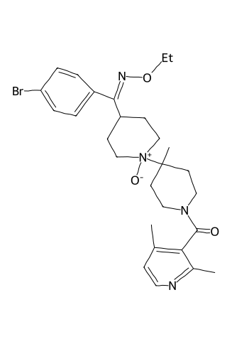 CCON=C(c1ccc(Br)cc1)C1CC[N+]([O-])(C2(C)CCN(C(=O)c3c(C)ccnc3C)CC2)CC1